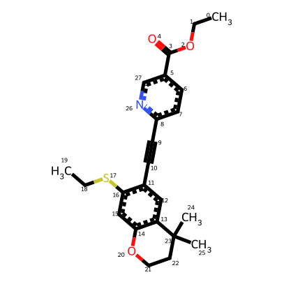 CCOC(=O)c1ccc(C#Cc2cc3c(cc2SCC)OCCC3(C)C)nc1